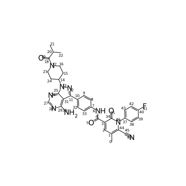 Cc1cc(C(=O)Nc2ccc(-c3nn(C4CCN(C(=O)C(C)C)CC4)c4ncnc(N)c34)cc2)c(=O)n(-c2ccc(F)cc2)c1C#N